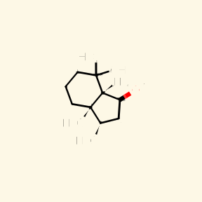 C[C@@H]1CC(=O)[C@H]2C(C)(C)CCC[C@@]12C